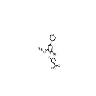 Cc1cc(N2CCOCC2)nc(NC2CN(C(=O)O)CC2F)n1